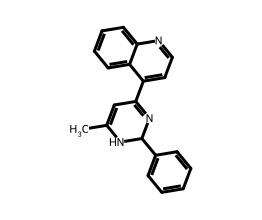 CC1=CC(c2ccnc3ccccc23)=NC(c2ccccc2)N1